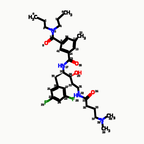 CCCN(CCC)C(=O)c1cc(C)cc(C(=O)N[C@@H](Cc2cc(F)cc(F)c2)[C@H](O)CCNC(=O)CCCN(C)C)c1